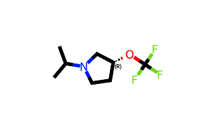 CC(C)N1CC[C@@H](OC(F)(F)F)C1